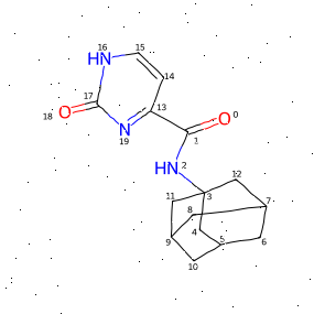 O=C(NC12CC3CC(CC(C3)C1)C2)c1cc[nH]c(=O)n1